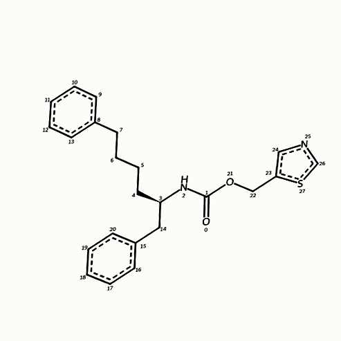 O=C(N[C@H](CCCCc1ccccc1)Cc1ccccc1)OCc1cncs1